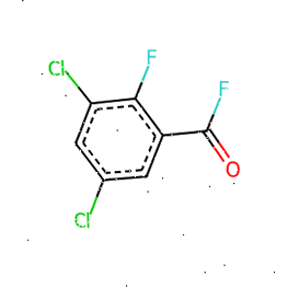 O=C(F)c1cc(Cl)cc(Cl)c1F